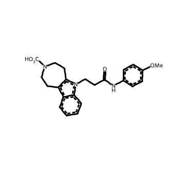 COc1ccc(NC(=O)CCn2c3c(c4ccccc42)CCN(C(=O)O)CC3)cc1